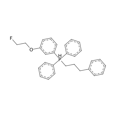 FCCOc1cccc([PH](CCCc2ccccc2)(c2ccccc2)c2ccccc2)c1